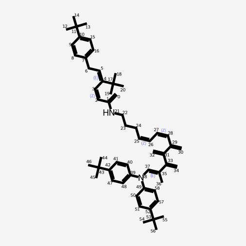 C=C(/C=C\C(=C/Cc1ccc(C(C)(C)C)cc1)C(C)(C)C)NCCC/C=C\C=C/C(=C)C(=C)C(=C)/C(C)=C/N(c1ccc(C(C)(C)C)cc1)c1ccc(C(C)(C)C)cc1